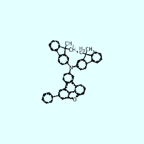 CC1(C)c2ccccc2-c2ccc(N(c3ccc4c(c3)C(C)(C)c3ccccc3-4)c3ccc4c(c3)c3cccc5oc6cc(-c7ccccc7)cc4c6c53)cc21